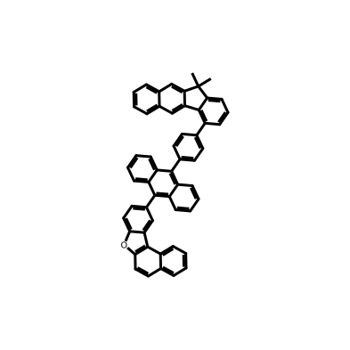 CC1(C)c2cc3ccccc3cc2-c2c(-c3ccc(-c4c5ccccc5c(-c5ccc6oc7ccc8ccccc8c7c6c5)c5ccccc45)cc3)cccc21